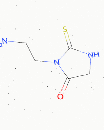 NCCN1C(=O)CNC1=S